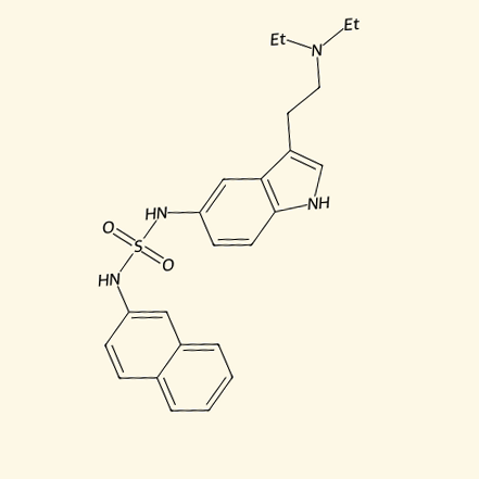 CCN(CC)CCc1c[nH]c2ccc(NS(=O)(=O)Nc3ccc4ccccc4c3)cc12